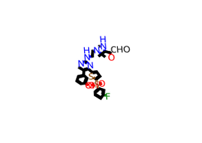 CC1(C)C(C(=O)C=O)NCN1CCNc1ncc(-c2cccc(O)c2)c(-c2ccc(S(=O)(=O)c3cccc(F)c3)s2)n1